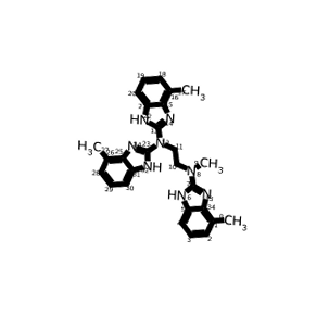 Cc1cccc2[nH]c(N(C)CCN(c3nc4c(C)cccc4[nH]3)c3nc4c(C)cccc4[nH]3)nc12